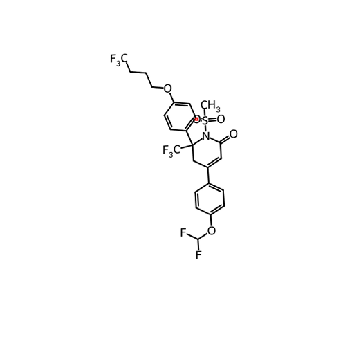 CS(=O)(=O)N1C(=O)C=C(c2ccc(OC(F)F)cc2)CC1(c1ccc(OCCCC(F)(F)F)cc1)C(F)(F)F